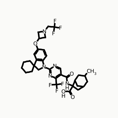 CC1CC2CC(C1)C(NC(=O)c1cnc(N3CC4(CCCCC4)c4cc(OC5CN(CC(F)(F)F)C5)ccc43)nc1C(F)(F)F)(C(=O)O)C2